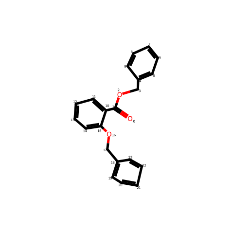 O=C(OCc1ccccc1)c1cc[c]cc1OCc1ccccc1